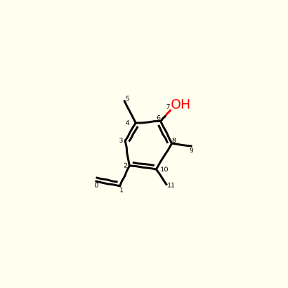 C=Cc1cc(C)c(O)c(C)c1C